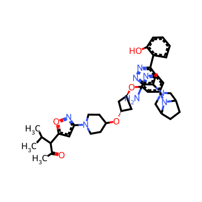 CC(=O)C(c1cc(N2CCC(O[C@H]3C[C@H](Oc4cc(N5C6CCC5CN(c5cc(-c7ccccc7O)nnc5N)C6)ccn4)C3)CC2)no1)C(C)C